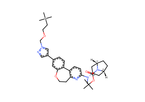 CN(c1ccc2c(n1)CCOc1cc(-c3cnn(COCC[Si](C)(C)C)c3)ccc1-2)[C@H]1C[C@H]2CC[C@@H](C1)N2C(=O)OC(C)(C)C